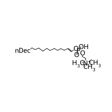 CCCCCCCCCCCCCCCCCCCCC=COP(=O)(O)OCC[N+](C)(C)C